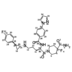 NC(=O)C1(F)CCN(C(=O)[C@@H](CCCN[C@@H]2C[C@H]2c2ccc(F)cc2)NC(=O)c2ccc(-n3cccn3)cc2)CC1